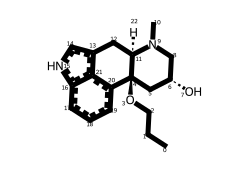 CCCO[C@]12C[C@@H](O)CN(C)[C@@H]1Cc1c[nH]c3cccc2c13